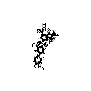 CN1CCN(c2ccc(S(=O)(=O)C3C[C@H](C(=O)O)N(C(=O)C4(C(F)(F)F)CC4)C3)c(Cl)c2)CC1